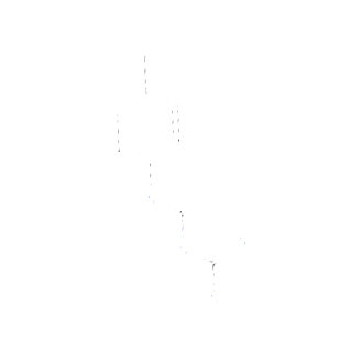 CCc1ccc(N(C)C(=O)NC(=N)N)c(F)c1